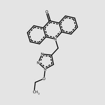 CCOn1cc(Cn2c3ccccc3c(=O)c3ccccc32)nn1